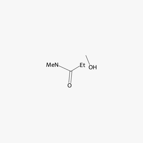 CCC(=O)NC.CO